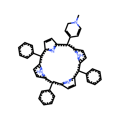 CN1C=CC(c2c3nc(c(-c4ccccc4)c4ccc([nH]4)c(-c4ccccc4)c4nc(c(-c5ccccc5)c5ccc2[nH]5)C=C4)C=C3)=CC1